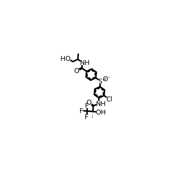 CC(CO)NC(=O)c1ccc([S+]([O-])c2ccc(NC(=O)[C@@](C)(O)C(F)(F)F)c(Cl)c2)cc1